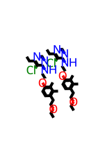 CCOCCc1ccc(OCCNc2ncnc(CC)c2Cl)c(C)c1C.CCOCCc1ccc(OCCNc2ncnc(CC)c2Cl)c(C)c1C